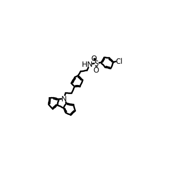 O=S(=O)(NCCc1ccc(CCn2c3ccccc3c3ccccc32)cc1)c1ccc(Cl)cc1